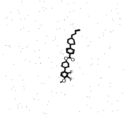 C=CCCC1CCC(c2ccc(C(=O)OC3CCC(c4ccc(OC)c(F)c4F)CC3)cc2)CC1